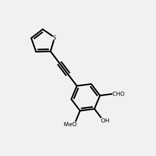 COc1cc(C#Cc2cccs2)cc(C=O)c1O